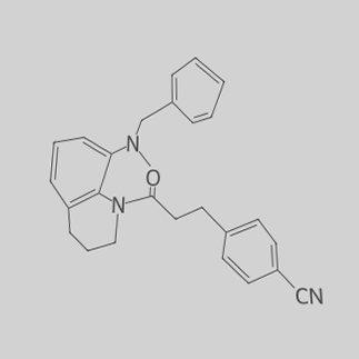 CN(Cc1ccccc1)c1cccc2c1N(C(=O)CCc1ccc(C#N)cc1)CCC2